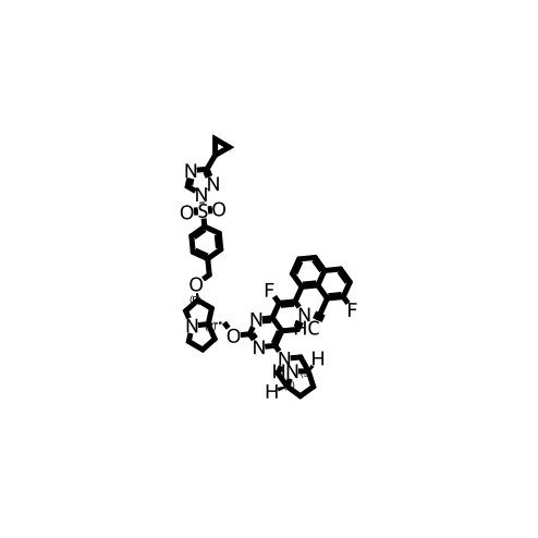 C#Cc1c(F)ccc2cccc(-c3ncc4c(N5C[C@H]6CC[C@@H](C5)N6)nc(OC[C@]56CCCN5C[C@H](OCc5ccc(S(=O)(=O)n7cnc(C8CC8)n7)cc5)C6)nc4c3F)c12